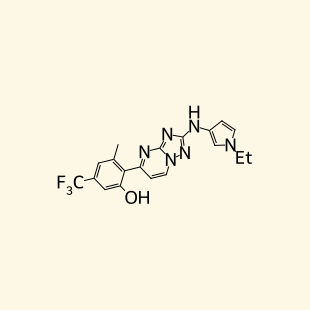 CCn1ccc(Nc2nc3nc(-c4c(C)cc(C(F)(F)F)cc4O)ccn3n2)c1